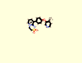 O=S1(=O)CCN2C(=N1)C1(c3ccc(Oc4cnccc4C(F)(F)F)cc3)CCC2CC1